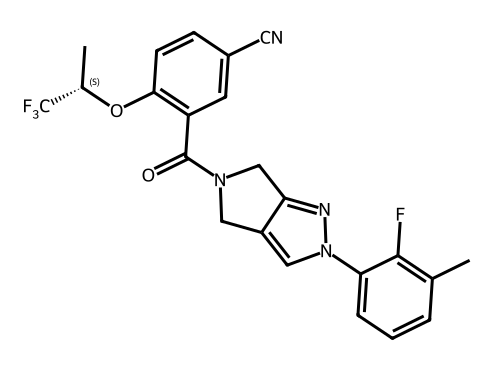 Cc1cccc(-n2cc3c(n2)CN(C(=O)c2cc(C#N)ccc2O[C@@H](C)C(F)(F)F)C3)c1F